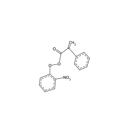 C=C(C(=O)OOc1ccccc1[N+](=O)[O-])c1ccccc1